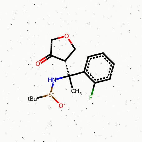 CC(N[S+]([O-])C(C)(C)C)(c1ccccc1F)[C@H]1COCC1=O